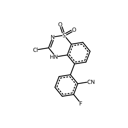 N#Cc1c(F)cccc1-c1cccc2c1NC(Cl)=NS2(=O)=O